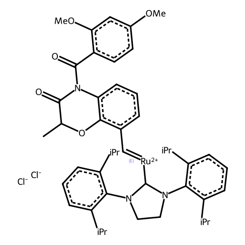 COc1ccc(C(=O)N2C(=O)C(C)Oc3c(/[CH]=[Ru+2]/[CH]4N(c5c(C(C)C)cccc5C(C)C)CCN4c4c(C(C)C)cccc4C(C)C)cccc32)c(OC)c1.[Cl-].[Cl-]